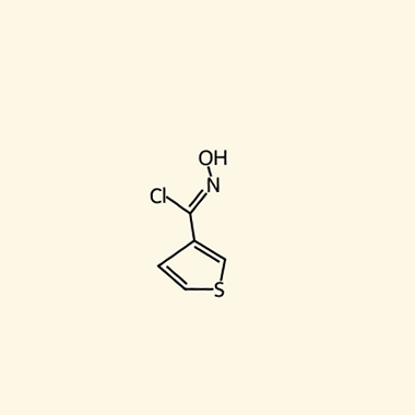 ON=C(Cl)c1ccsc1